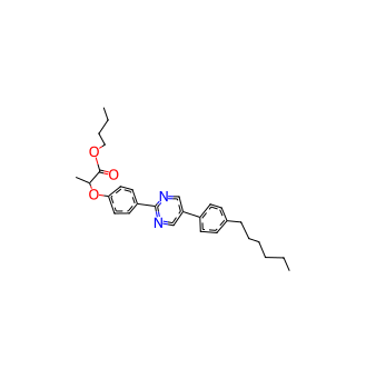 CCCCCCc1ccc(-c2cnc(-c3ccc(OC(C)C(=O)OCCCC)cc3)nc2)cc1